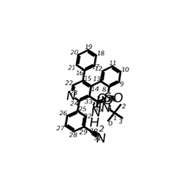 CC(C)(C)NS(=O)(=O)c1ccccc1-c1c(-c2ccccc2)cnc(-c2cccc(C#N)c2)c1C(N)=O